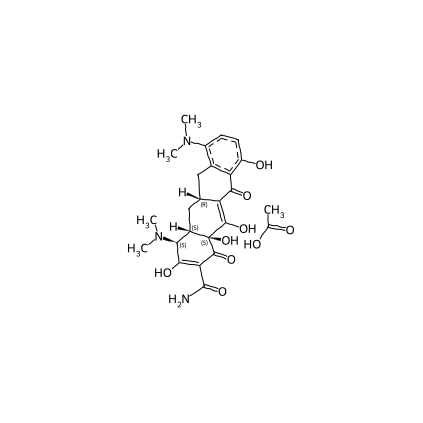 CC(=O)O.CN(C)c1ccc(O)c2c1C[C@H]1C[C@H]3[C@H](N(C)C)C(O)=C(C(N)=O)C(=O)[C@@]3(O)C(O)=C1C2=O